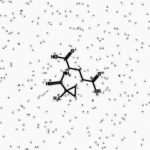 CC1(C(=N)N)CC1.O=C(O)CCCC(=O)O